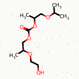 CC(C)OCC(C)OC(=O)OCC(C)OCCO